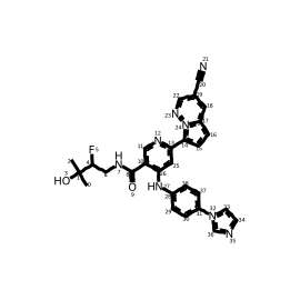 CC(C)(O)C(F)CNC(=O)c1cnc(-c2ccc3cc(C#N)cnn23)cc1Nc1ccc(-n2ccnc2)cc1